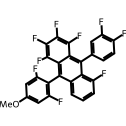 COc1cc(F)c(-c2c3cccc(F)c3c(-c3ccc(F)c(F)c3)c3c(F)c(F)c(F)c(F)c23)c(F)c1